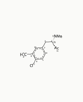 CN[C@@H](Cc1ccc(Cl)c(C)c1)C(C)=O